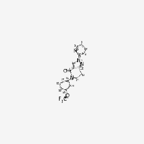 O=C1c2cn(-c3ccccn3)nc2CCN1c1cccc(OC(F)(F)F)c1